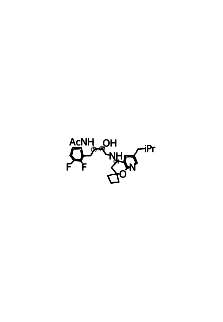 CC(=O)N[C@@H](Cc1cccc(F)c1F)[C@H](O)CN[C@H]1CC2(CCC2)Oc2ncc(CC(C)C)cc21